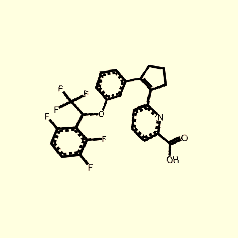 O=C(O)c1cccc(C2=C(c3cccc(OC(c4c(F)ccc(F)c4F)C(F)(F)F)c3)CCC2)n1